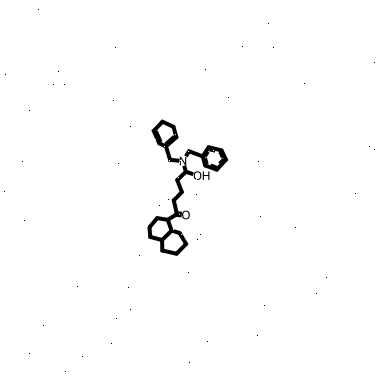 O=C(CCCC(O)N(CC1=CCCC=C1)Cc1ccccc1)C1CCCC2CCCCC21